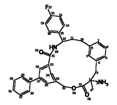 CC1(N)Cc2cccc(c2)CCC(c2ccc(F)cc2)NC(=O)c2cc(cc(-c3ccccc3)c2)COC1=O